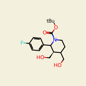 CC(C)(C)OC(=O)N1CCC(CO)[C@@H](CO)C1c1ccc(F)cc1